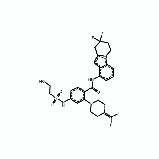 O=C(Nc1cccc2c1cc1n2CCC(F)(F)C1)c1ccc(NS(=O)(=O)CCO)cc1N1CCC(=C(F)F)CC1